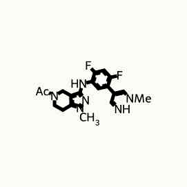 CN/C=C(\C=N)c1cc(Nc2nn(C)c3c2CN(C(C)=O)CC3)c(F)cc1F